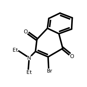 CCN(CC)C1=C(Br)C(=O)c2ccccc2C1=O